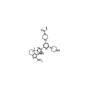 C=CC(=O)N1CCN(c2cc(-c3noc([C@@]4(C)CCCc5sc(N)c(C#N)c54)n3)nc(N3CCNCC3)c2)CC1